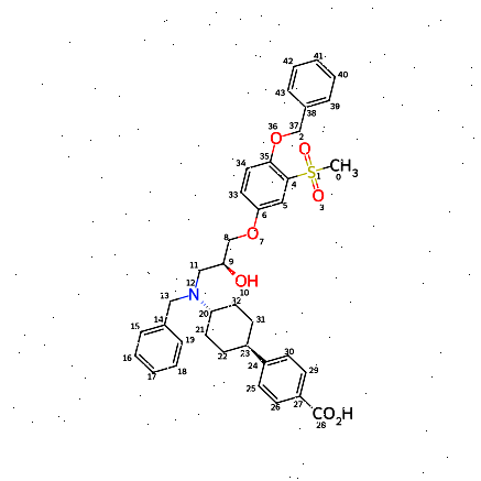 CS(=O)(=O)c1cc(OC[C@@H](O)CN(Cc2ccccc2)[C@H]2CC[C@H](c3ccc(C(=O)O)cc3)CC2)ccc1OCc1ccccc1